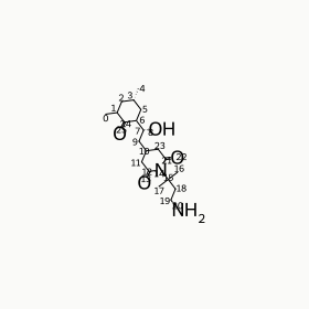 CC1C[C@H](C)CC([C@H](O)CC2CC(=O)N(C(C)(C)CCN)C(=O)C2)C1=O